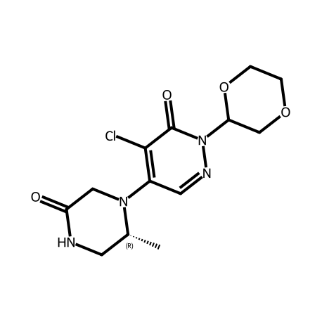 C[C@@H]1CNC(=O)CN1c1cnn(C2COCCO2)c(=O)c1Cl